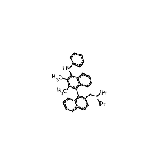 Cc1c(C)c(-c2c(CP(C(C)C)C(C)C)ccc3ccccc23)c2ccccc2c1Pc1ccccc1